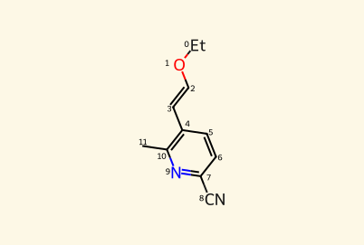 CCOC=Cc1ccc(C#N)nc1C